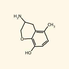 Cc1ccc(O)c2c1CC(N)CO2